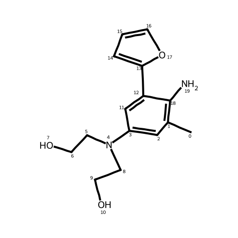 Cc1cc(N(CCO)CCO)cc(-c2ccco2)c1N